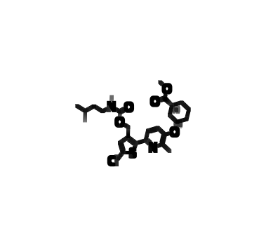 COC(=O)[C@H]1CCC[C@H](Oc2ccc(-c3sc(Cl)cc3COC(=O)N(C)CCC(C)C)nc2C)C1